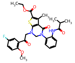 CCOC(=O)c1sc2c(c1C)C(=O)N(c1ccccc1NC(=O)C(C)C)CN2CC(=O)c1cc(F)ccc1OC